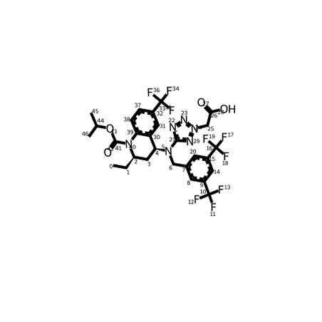 CC[C@@H]1C[C@H](N(Cc2cc(C(F)(F)F)cc(C(F)(F)F)c2)c2nnn(CC(=O)O)n2)c2cc(C(F)(F)F)ccc2N1C(=O)OC(C)C